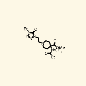 CCC(=O)N(C)C1(C(=O)OC)CCN(CCn2nnn(CC)c2=O)CC1